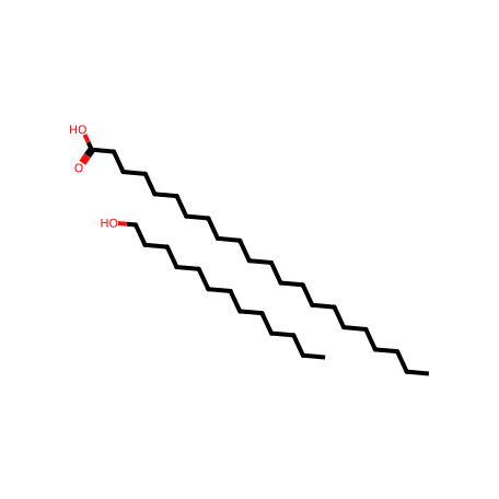 CCCCCCCCCCCCCCCCCCCCCC(=O)O.CCCCCCCCCCCCCO